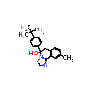 Cc1ccc2c(c1)C1=NCCN1C(O)(c1ccc(C(C)(C)C)cc1)C2